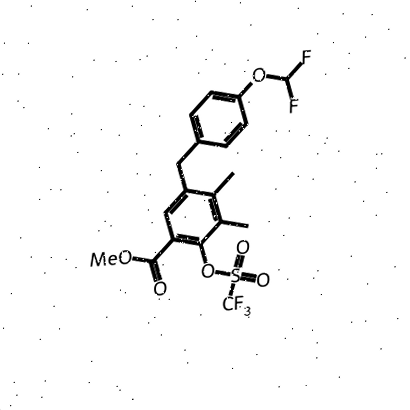 COC(=O)c1cc(Cc2ccc(OC(F)F)cc2)c(C)c(C)c1OS(=O)(=O)C(F)(F)F